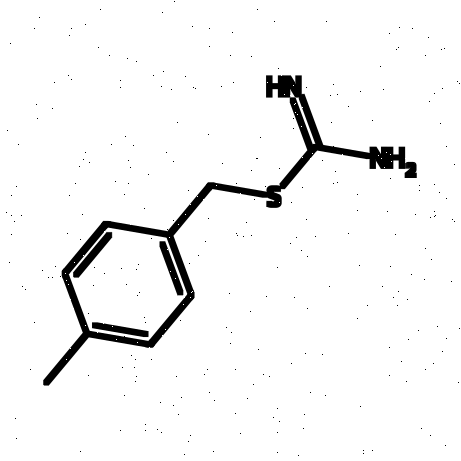 Cc1ccc(CSC(=N)N)cc1